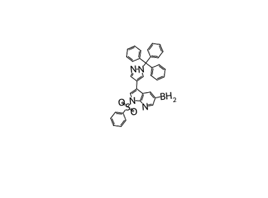 Bc1cnc2c(c1)c(-c1cnn(C(c3ccccc3)(c3ccccc3)c3ccccc3)c1)cn2S(=O)(=O)c1ccccc1